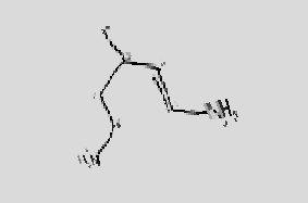 CC(C=CN)CCN